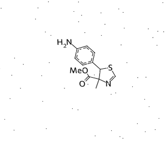 COC(=O)C1(C)N=CSC1c1ccc(N)cc1